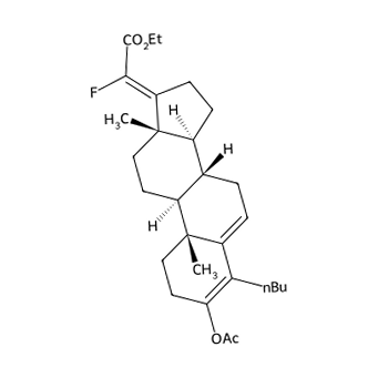 CCCCC1=C(OC(C)=O)CC[C@@]2(C)C1=CC[C@@H]1[C@@H]2CC[C@]2(C)C(=C(F)C(=O)OCC)CC[C@@H]12